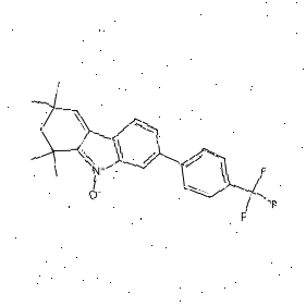 CC1(C)C=C2C(=[N+]([O-])c3cc(-c4ccc(C(F)(F)F)cc4)ccc32)C(C)(C)C1